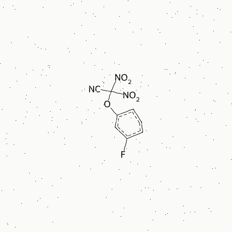 N#CC(Oc1cccc(F)c1)([N+](=O)[O-])[N+](=O)[O-]